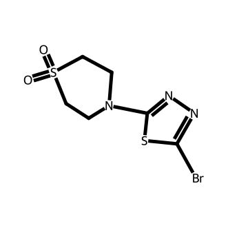 O=S1(=O)CCN(c2nnc(Br)s2)CC1